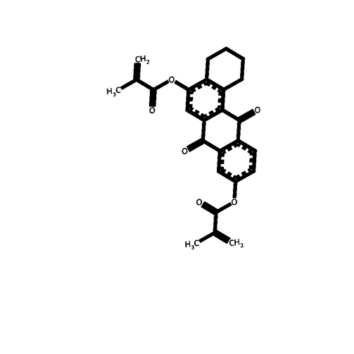 C=C(C)C(=O)Oc1ccc2c(c1)C(=O)c1cc(OC(=O)C(=C)C)c3c(c1C2=O)CCCC3